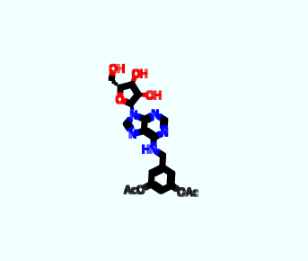 CC(=O)Oc1cc(CNc2ncnc3c2ncn3[C@@H]2O[C@H](CO)[C@@H](O)[C@H]2O)cc(OC(C)=O)c1